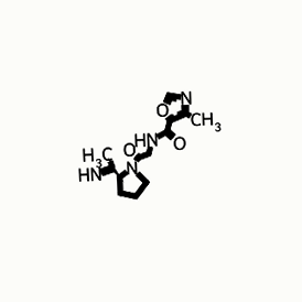 CC(=N)[C@@H]1CCCN1C(=O)CNC(=O)c1ocnc1C